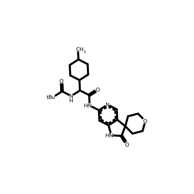 CC1CCC(C(NC(=O)C(C)(C)C)C(=O)Nc2cc3c(cn2)C2(CCOCC2)C(=O)N3)CC1